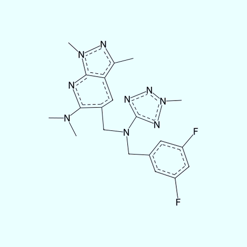 Cc1nn(C)c2nc(N(C)C)c(CN(Cc3cc(F)cc(F)c3)c3nnn(C)n3)cc12